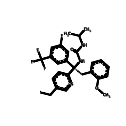 COc1ccccc1C[C@@](NC(=O)NC(C)C)(c1cc(F)cc(C(F)(F)F)c1)c1ccc(CI)cn1